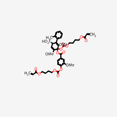 C=CC(=O)OCCCCOC(=O)Oc1ccc(C(=O)OC2(OC(=O)OCCCCOC(=O)C=C)C(OC)=CC(C(=O)O)C(c3ccccc3C)=C2OC)cc1OC